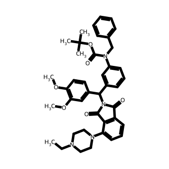 CCN1CCN(c2cccc3c2C(=O)N(C(c2cccc(N(Cc4ccccc4)C(=O)OC(C)(C)C)c2)c2ccc(OC)c(OC)c2)C3=O)CC1